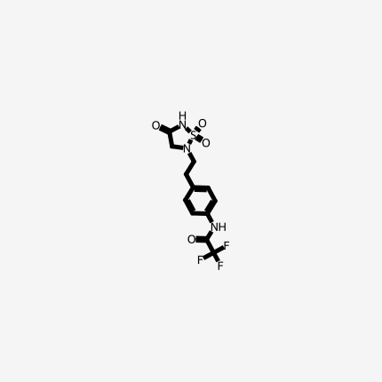 O=C1CN(CCc2ccc(NC(=O)C(F)(F)F)cc2)S(=O)(=O)N1